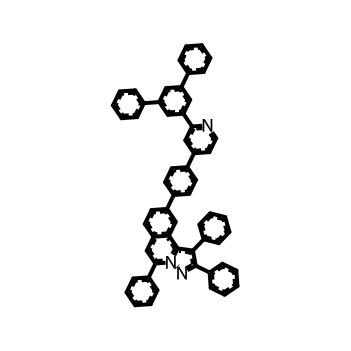 c1ccc(-c2cc(-c3ccccc3)cc(-c3cc(-c4ccc(-c5ccc6cc(-c7ccccc7)n7nc(-c8ccccc8)c(-c8ccccc8)c7c6c5)cc4)ccn3)c2)cc1